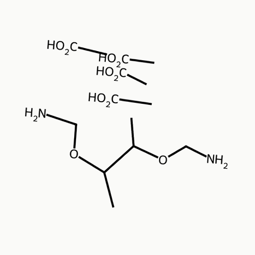 CC(=O)O.CC(=O)O.CC(=O)O.CC(=O)O.CC(OCN)C(C)OCN